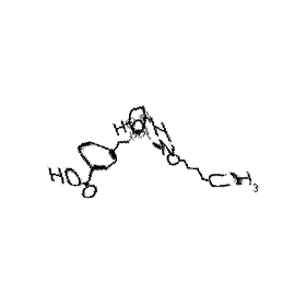 CCCCCON=C[C@@H]1[C@H](CCc2ccc(C(=O)O)cc2)[C@@H]2CC[C@H]1O2